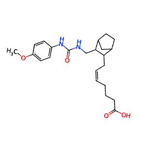 COc1ccc(NC(=O)NCC2C3CCC(C3)C2C/C=C\CCCC(=O)O)cc1